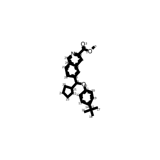 COC(=O)c1cc2cc(C(Oc3ccc(C(C)(C)C)cc3)C3CCCC3)ccc2cn1